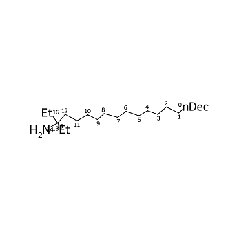 CCCCCCCCCCCCCCCCCCCCCCC(N)(CC)CC